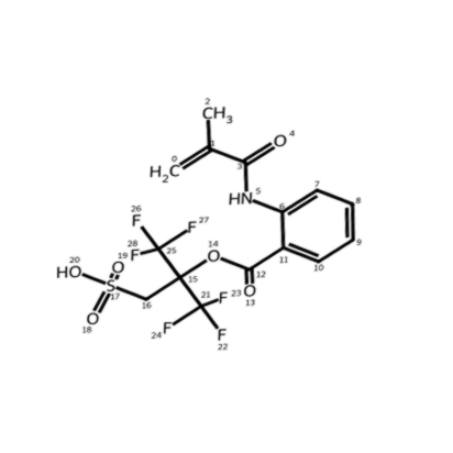 C=C(C)C(=O)Nc1ccccc1C(=O)OC(CS(=O)(=O)O)(C(F)(F)F)C(F)(F)F